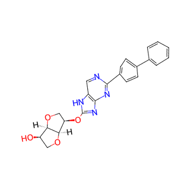 O[C@@H]1CO[C@H]2[C@@H]1OC[C@H]2Oc1nc2nc(-c3ccc(-c4ccccc4)cc3)ncc2[nH]1